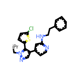 CC(C)Cn1ncc(-c2ccnc(NCCc3ccccc3)c2)c1-c1ccc(Cl)s1